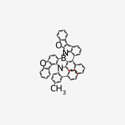 Cc1ccc(N2c3cc4ccccc4c4c3B(c3ccc5oc6ccccc6c5c32)n2c3oc5ccccc5c3c3cccc-4c32)c(-c2ccccc2)c1